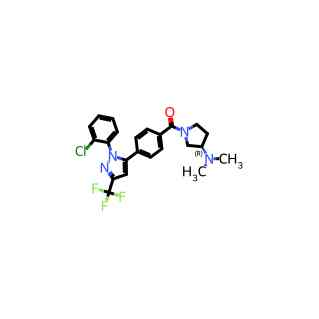 CN(C)[C@@H]1CCN(C(=O)c2ccc(-c3cc(C(F)(F)F)nn3-c3ccccc3Cl)cc2)C1